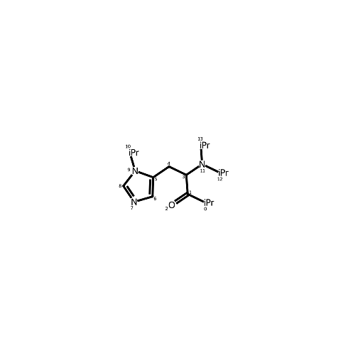 CC(C)C(=O)C(Cc1cncn1C(C)C)N(C(C)C)C(C)C